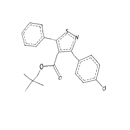 CC(C)(C)OC(=O)c1c(-c2ccc(Cl)cc2)nsc1-c1ccccc1